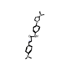 CN(C)c1ccc(/C=C/C(=O)Nc2ccc(N3CCC(N(C)C)C3)cc2)cc1